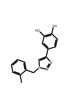 Cc1ccccc1Cn1cc(-c2ccc(O)c(O)c2)nn1